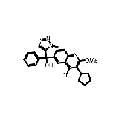 COc1nc2ccc(C(O)(c3ccccc3)c3cnnn3C)cc2c(Cl)c1C1CCCC1